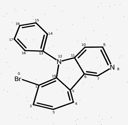 Brc1cccc2c3cnccc3n(-c3ccccc3)c12